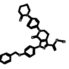 C=C(OCC)c1nn(-c2ccc(OCc3ccccc3)cc2)c2c1CCN(c1ccc(N3CCCCC3=O)cc1)C2=O